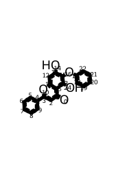 O=c1cc(-c2ccccc2)oc2cc(O)c(Oc3ccccc3)c(O)c12